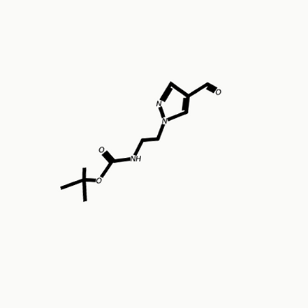 CC(C)(C)OC(=O)NCCn1cc(C=O)cn1